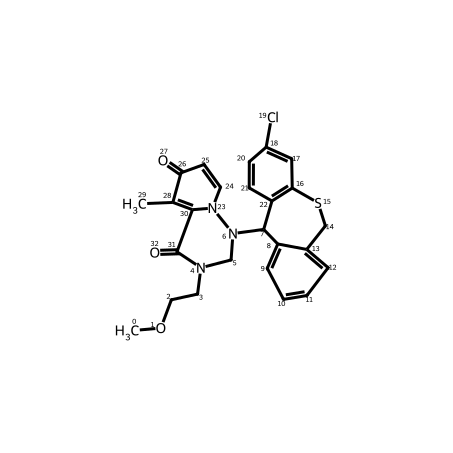 COCCN1CN(C2c3ccccc3CSc3cc(Cl)ccc32)n2ccc(=O)c(C)c2C1=O